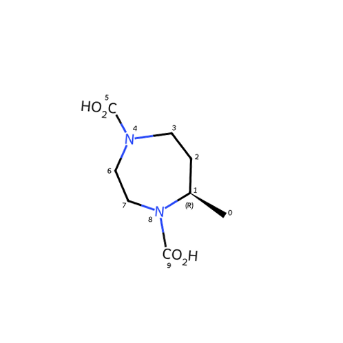 C[C@@H]1CCN(C(=O)O)CCN1C(=O)O